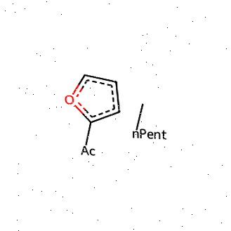 CC(=O)c1ccco1.CCCCCC